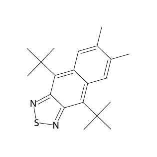 Cc1cc2c(C(C)(C)C)c3nsnc3c(C(C)(C)C)c2cc1C